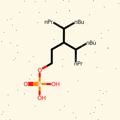 CCCCC(CCC)C(CCOP(=O)(O)O)C(CCC)CCCC